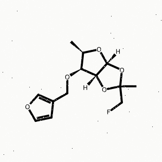 C[C@H]1O[C@@H]2OC(C)(CF)O[C@@H]2[C@H]1OCc1ccoc1